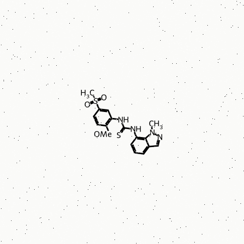 COc1ccc(S(C)(=O)=O)cc1NC(=S)Nc1cccc2cnn(C)c12